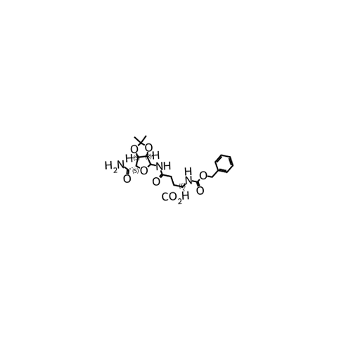 CC1(C)O[C@@H]2[C@@H](C(N)=O)OC(NC(=O)CC[C@H](NC(=O)OCc3ccccc3)C(=O)O)[C@@H]2O1